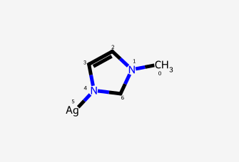 CN1C=C[N]([Ag])C1